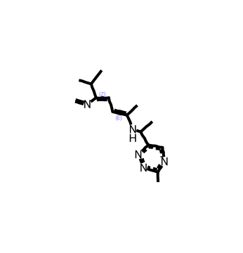 C=N/C(=C\C=C(/C)NC(C)c1cnc(C)nn1)C(C)C